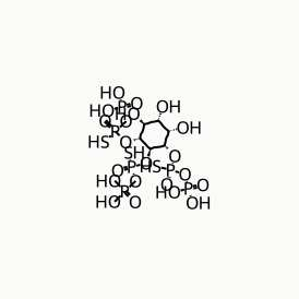 O=P(O)(O)OP(=O)(S)O[C@H]1[C@H](OP(=O)(S)OP(=O)(O)O)[C@@H](O)[C@H](O)[C@H](O)[C@@H]1OP(=O)(S)OP(=O)(O)O